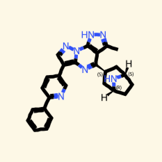 Cc1n[nH]c2c1c([C@@H]1C[C@H]3CC[C@@H](C1)N3)nc1c(-c3ccc(-c4ccccc4)nc3)cnn12